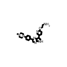 CN1CCN(c2ccc(-c3cnc4[nH]cc(-c5ccc(OCCN)nc5)c4n3)cc2)CC1